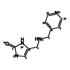 O=C1[N]C=C(CNCc2ccncc2)N1